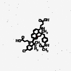 CC(=O)Nc1ccc(CC(C)(C/C=C/C=C2/N(CCC(=O)O)c3cc(Cl)ccc3C2(C)C)c2c(NCCC(=O)O)ccc3ccccc23)cc1